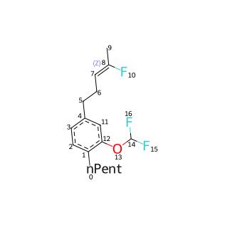 CCCCCc1ccc(CC/C=C(/C)F)cc1OC(F)F